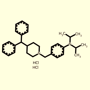 CC(C)N(c1ccc(CN2CCC(C(c3ccccc3)c3ccccc3)CC2)cc1)C(C)C.Cl.Cl